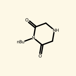 CCCCN1C(=O)CNCC1=O